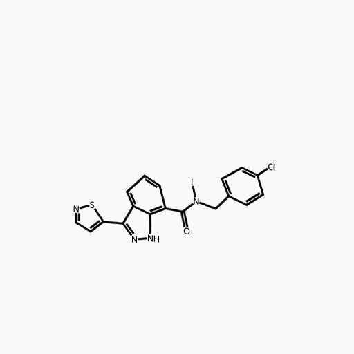 O=C(c1cccc2c(-c3ccns3)n[nH]c12)N(I)Cc1ccc(Cl)cc1